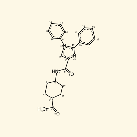 CC(=O)N1CCC(NC(=O)c2cn(-c3ccccc3)c(-c3ccccc3)n2)CC1